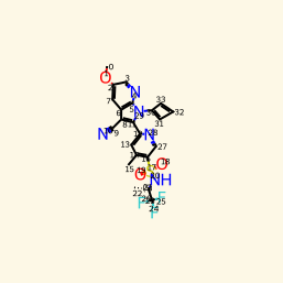 COc1cnc2c(c1)c(C#N)c(-c1cc(C)c(S(=O)(=O)N[C@@H](C)C(F)(F)F)cn1)n2C1=CC=C1